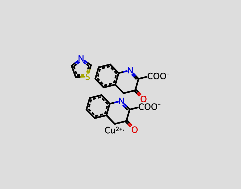 O=C([O-])C1=Nc2ccccc2CC1=O.O=C([O-])C1=Nc2ccccc2CC1=O.[Cu+2].c1cscn1